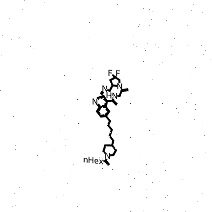 C=NCC1CC(F)(F)CN1C(=C)CNC(=C)c1ccnc2ccc(CCCCCC3CCN(C(=C)CCCCCC)CC3)cc12